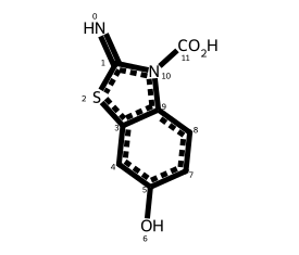 N=c1sc2cc(O)ccc2n1C(=O)O